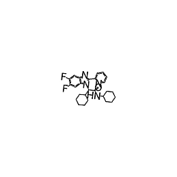 O=C(NC1CCCCC1)C(C1CCCCC1)n1c(-c2ccccn2)nc2cc(F)c(F)cc21